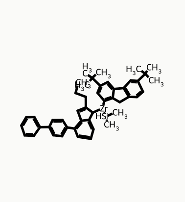 CCCC1=Cc2c(-c3ccc(-c4ccccc4)cc3)cccc2[CH]1[Zr]([c]1cc(C(C)(C)C)cc2c1Cc1ccc(C(C)(C)C)cc1-2)[SiH](C)C